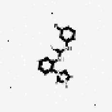 O=C(Nc1cccc(F)c1)Nc1ccccc1-n1ccnc1